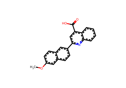 COc1ccc2cc(-c3cc(C(=O)O)c4ccccc4n3)ccc2c1